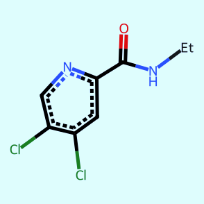 CCNC(=O)c1cc(Cl)c(Cl)cn1